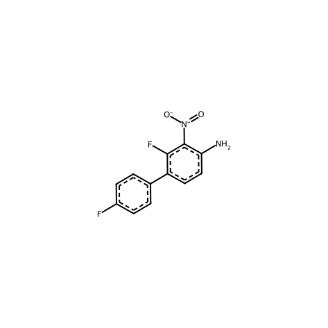 Nc1ccc(-c2ccc(F)cc2)c(F)c1[N+](=O)[O-]